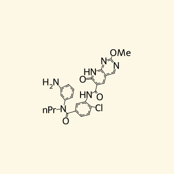 CCCN(C(=O)c1ccc(Cl)c(NC(=O)c2cc3cnc(OC)nc3[nH]c2=O)c1)c1cccc(N)c1